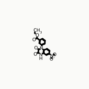 CCOC(=O)c1cccc(-n2c(=O)c(=O)[nH]c3cc([N+](=O)[O-])ccc32)c1